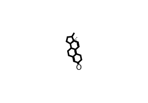 CC1CCC2C3CCC4=CC(=O)CCC4=C3C=C[C@]12C